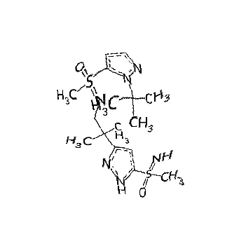 CC(C)(CN=S(C)(=O)c1ccnn1C(C)(C)C)c1cc(S(C)(=N)=O)[nH]n1